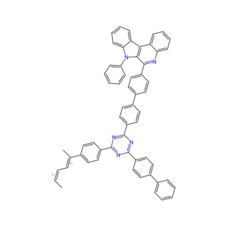 C/C=C\C=C(/C)c1ccc(-c2nc(-c3ccc(-c4ccccc4)cc3)nc(-c3ccc(-c4ccc(-c5nc6ccccc6c6c7ccccc7n(-c7ccccc7)c56)cc4)cc3)n2)cc1